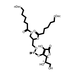 CCCCCCCCCCCCCCCC(=O)OCC(CO[PH](=O)OC1=C(O)C(=O)O[C@@H]1[C@@H](O)CO)OC(=O)CCCCCCCCCCCCCCC